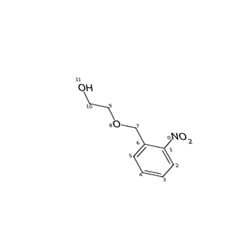 O=[N+]([O-])c1ccccc1COCCO